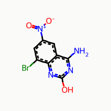 Nc1nc(O)nc2c(Br)cc([N+](=O)[O-])cc12